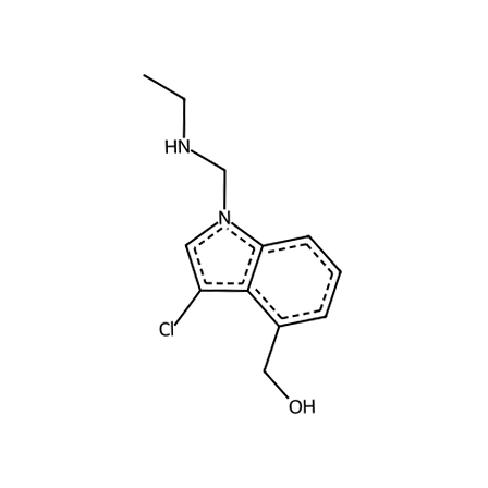 CCNCn1cc(Cl)c2c(CO)cccc21